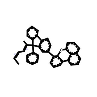 C/C=C\C=C(/C)C1(c2ccccc2)c2ccccc2-c2ccc(-c3cccc4c3Oc3cccc5cccc-4c35)cc21